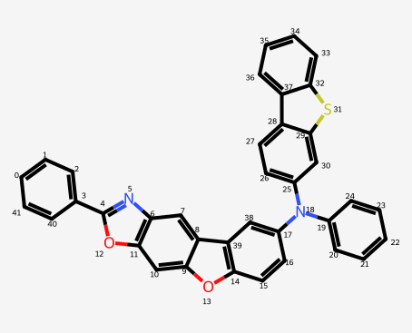 c1ccc(-c2nc3cc4c(cc3o2)oc2ccc(N(c3ccccc3)c3ccc5c(c3)sc3ccccc35)cc24)cc1